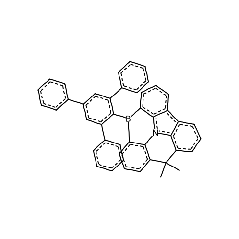 CC1(C)c2cccc3c2-n2c4c(cccc4c4cccc1c42)B3c1c(-c2ccccc2)cc(-c2ccccc2)cc1-c1ccccc1